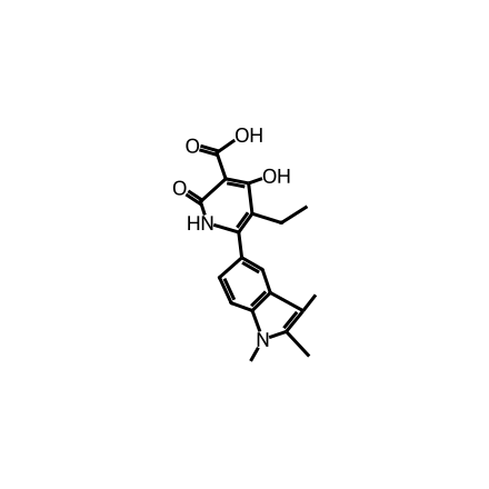 CCc1c(-c2ccc3c(c2)c(C)c(C)n3C)[nH]c(=O)c(C(=O)O)c1O